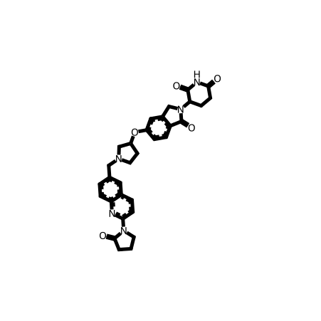 O=C1CCC(N2Cc3cc(OC4CCN(Cc5ccc6nc(N7CCCC7=O)ccc6c5)C4)ccc3C2=O)C(=O)N1